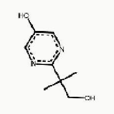 CC(C)(CO)c1ncc(O)cn1